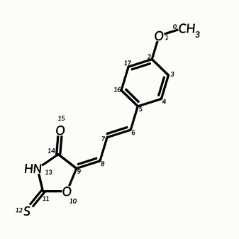 COc1ccc(C=CC=C2OC(=S)NC2=O)cc1